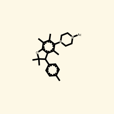 CC(=O)N1CCN(c2c(C)c(C)c3c(c2C)C(c2ccc(C)cc2)C(C)(C)O3)CC1